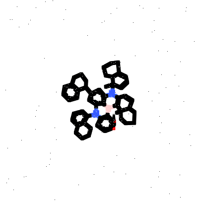 CC12CCCCC1C=CC1=C2B2c3c(cc(C4CCCc5ccccc54)cc3N1C1(C)C=CC=C3CCCCC31)N(c1cccc3c1CCCC3)c1ccc3c(c12)CCCC3